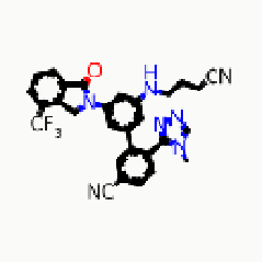 Cn1cnnc1-c1ccc(C#N)cc1-c1cc(NCCCC#N)cc(N2Cc3c(cccc3C(F)(F)F)C2=O)c1